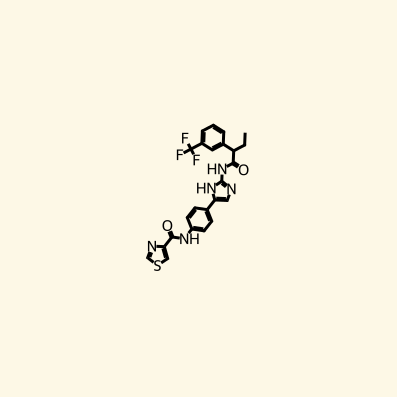 CCC(C(=O)Nc1ncc(-c2ccc(NC(=O)c3cscn3)cc2)[nH]1)c1cccc(C(F)(F)F)c1